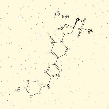 C[C@@](CCn1ccc(-c2ccc(OC3CCC(O)CC3)cc2)cc1=O)(C(=O)NO)S(C)(=O)=O